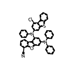 N#Cc1cccc2c1oc1cc(N(c3ccccc3)c3ccccc3)cc(N(c3ccccc3)c3cc(Cl)c4c(c3)sc3ccccc34)c12